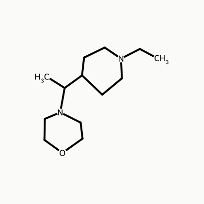 CCN1CCC(C(C)N2CCOCC2)CC1